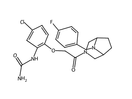 NC(=O)Nc1cc(Cl)ccc1OCC(=O)N1CC2CCC(C1)N2Cc1ccc(F)cc1